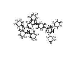 c1ccc(-c2nc(-c3ccccc3)nc(-c3ccc(-n4c5ccccc5c5cc6c(cc54)N(c4ccccc4)c4ccccc4N6c4ccccc4)cc3)n2)cc1